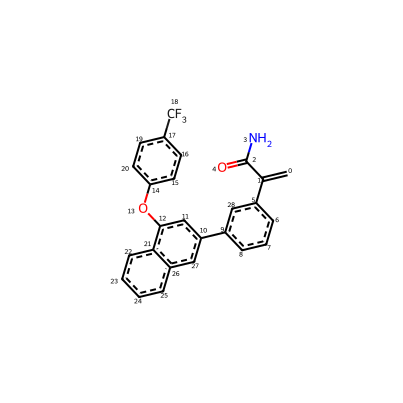 C=C(C(N)=O)c1cccc(-c2cc(Oc3ccc(C(F)(F)F)cc3)c3ccccc3c2)c1